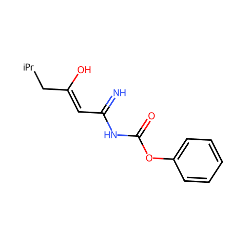 CC(C)C/C(O)=C/C(=N)NC(=O)Oc1ccccc1